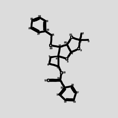 CC1(C)OC2O[C@@]3(CCC3OC(=O)c3ccccc3)C(OCc3ccccc3)C2O1